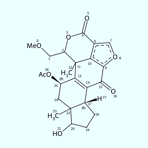 COCC1OC(=O)c2coc3c2C1(C)C1=C(C3=O)[C@@H]2CCC(O)C2(C)C[C@H]1OC(C)=O